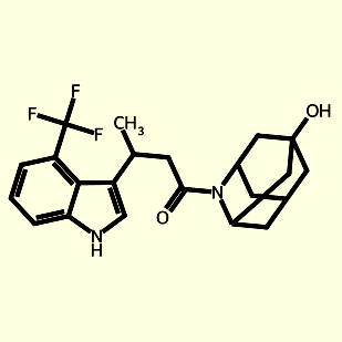 CC(CC(=O)N1C2CC3CC1CC(O)(C3)C2)c1c[nH]c2cccc(C(F)(F)F)c12